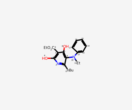 CCCCc1nc(O)c(C(=O)OCC)c(O)c1N(CC)c1ccccc1